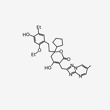 CCOc1cc(O)c(CC)cc1CCC1(C2CCCC2)CC(O)=C(Cc2nc3ncc(C)cn3n2)C(=O)O1